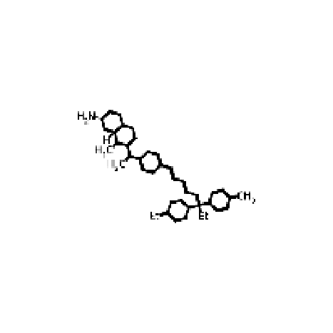 CCC1CCC(C(CC)(CCCCCC2CCC(C(C)C3CCC4CC[C@@H](N)C[C@H]4C3C)CC2)C2CCC(C)CC2)CC1